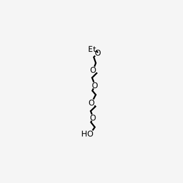 CCOCCOCCOCCOCCOCCO